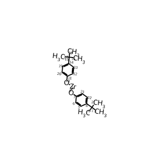 CC(C)(C)c1ccc([O][Zr][O]c2ccc(C(C)(C)C)cc2)cc1